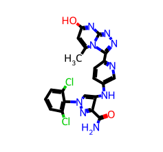 Cc1cc(O)nc2nnc(-c3ccc(Nc4cn(-c5c(Cl)cccc5Cl)nc4C(N)=O)cn3)n12